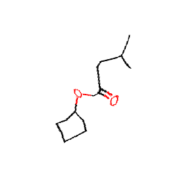 CC(C)CC(=O)OC1CCC1